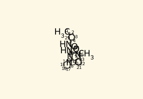 Cc1cccc(NC(=O)N[C@@H]2N=C(N3CCCCC3)c3ccccc3N(C)C2=O)c1